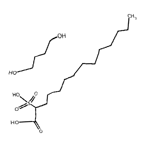 CCCCCCCCCCCCC(C(=O)O)S(=O)(=O)O.OCCCCO